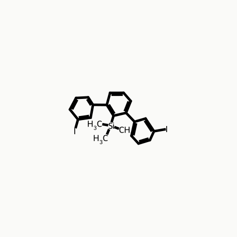 C[Si](C)(C)c1c(-c2cccc(I)c2)cccc1-c1cccc(I)c1